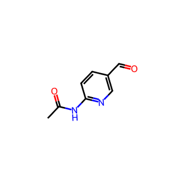 CC(=O)Nc1ccc(C=O)cn1